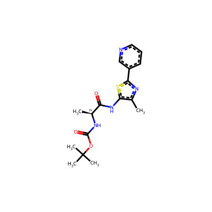 Cc1nc(-c2cccnc2)sc1NC(=O)[C@H](C)NC(=O)OC(C)(C)C